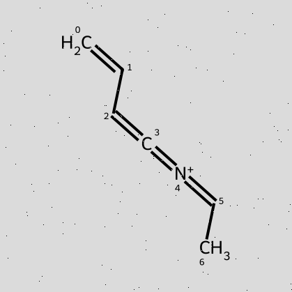 C=CC=C=[N+]=CC